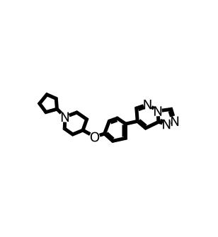 c1cc(-c2cnn3cnnc3c2)ccc1OC1CCN(C2CCCC2)CC1